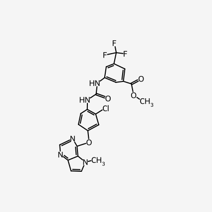 COC(=O)c1cc(NC(=O)Nc2ccc(Oc3ncnc4ccn(C)c34)cc2Cl)cc(C(F)(F)F)c1